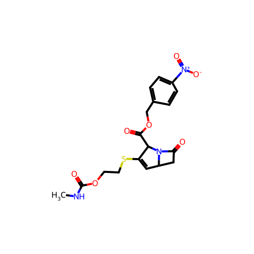 CNC(=O)OCCSC1=CC2CC(=O)N2C1C(=O)OCc1ccc([N+](=O)[O-])cc1